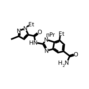 CCCn1c(NC(=O)c2cc(C)nn2CC)nc2cc(C(N)=O)cc(CC)c21